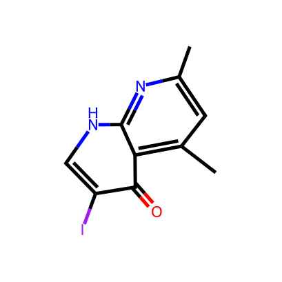 Cc1cc(C)c2c(=O)c(I)c[nH]c2n1